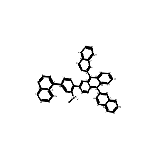 C[SiH2]c1cc(-c2cccc3ccccc23)ccc1-c1ccc2c(-c3ccc4ccccc4c3)c3ccccc3c(-c3ccc4ccccc4c3)c2c1